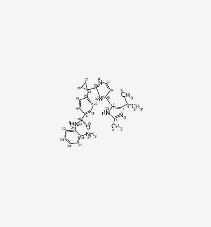 Cc1nc(C(C)C)c(-c2ccnc(C3(c4ccc(C(=O)Nc5ccccc5N)cc4)CC3)n2)[nH]1